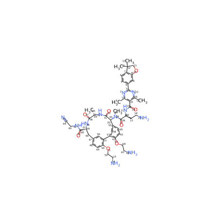 Cc1nc(-c2ccc3c(c2)OCC3(C)C)nc(C)c1C(=O)N[C@@H](CCN)C(=O)N(C)[C@@H]1C(=O)N[C@@H](C)C(=O)N[C@H](C(=O)NCC#N)Cc2ccc(OCCN)c(c2)-c2cc1ccc2OCCN